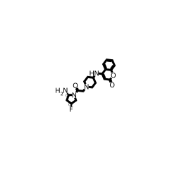 N[C@@H]1C[C@H](F)CN1C(=O)CN1CCC(Nc2cc(=O)oc3ccccc23)CC1